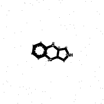 c1ccc2c(c1)OC1CNCC1O2